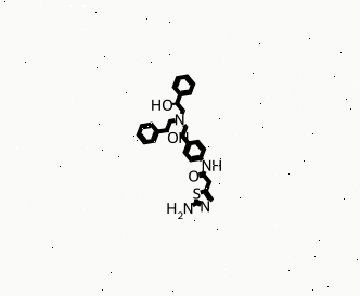 Nc1ncc(CC(=O)Nc2ccc(CCN(C[C@@H](O)c3ccccc3)C[C@H](O)c3ccccc3)cc2)s1